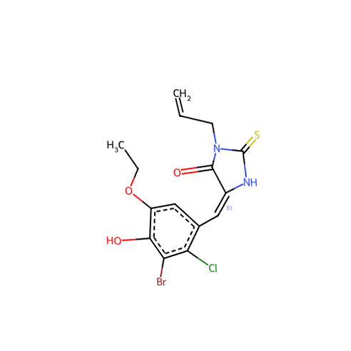 C=CCN1C(=O)/C(=C\c2cc(OCC)c(O)c(Br)c2Cl)NC1=S